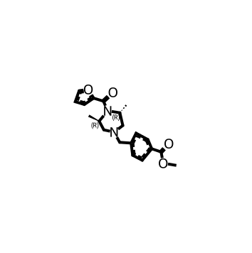 COC(=O)c1ccc(CN2C[C@@H](C)N(C(=O)c3ccco3)[C@H](C)C2)cc1